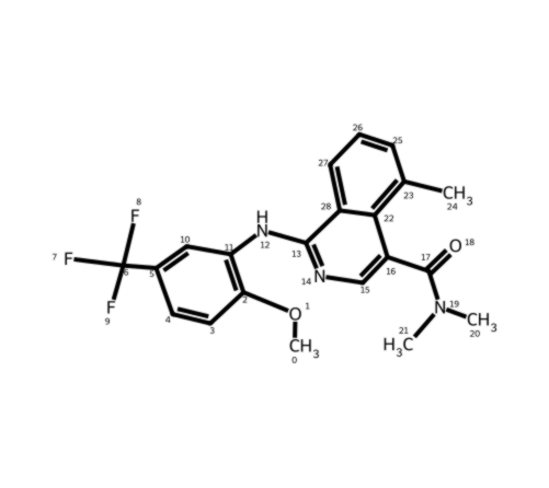 COc1ccc(C(F)(F)F)cc1Nc1ncc(C(=O)N(C)C)c2c(C)cccc12